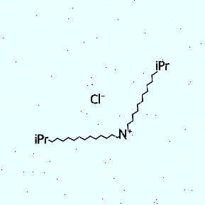 CC(C)CCCCCCCCCCCCC[N+](C)(C)CCCCCCCCCCCCCC(C)C.[Cl-]